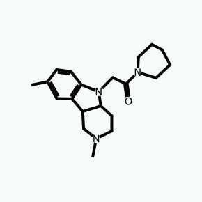 Cc1ccc2c(c1)C1CN(C)CCC1N2CC(=O)N1CCCCC1